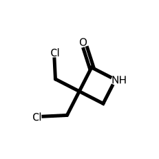 O=C1NCC1(CCl)CCl